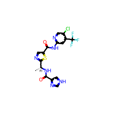 C[C@@H](NC(=O)c1c[nH]cn1)c1ncc(C(=O)Nc2cc(C(F)(F)F)c(Cl)cn2)s1